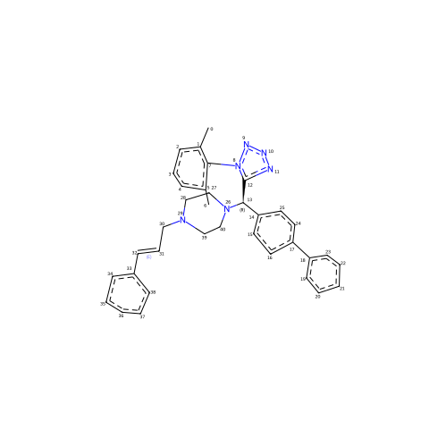 Cc1cccc(C)c1-n1nnnc1[C@@H](c1ccc(-c2ccccc2)cc1)N1CCN(C/C=C/c2ccccc2)CC1